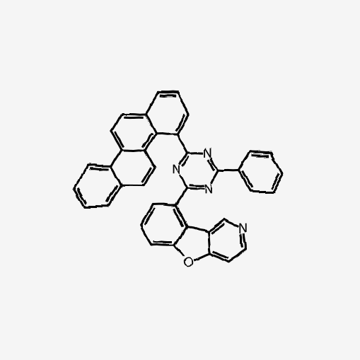 c1ccc(-c2nc(-c3cccc4ccc5c6ccccc6ccc5c34)nc(-c3cccc4oc5ccncc5c34)n2)cc1